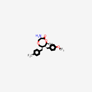 C[C@@H]1OC(=O)[C@@H](N)COC[C@H](Cc2ccc(C(F)(F)F)cc2)[C@H]1Cc1ccc(OC(F)(F)F)cc1